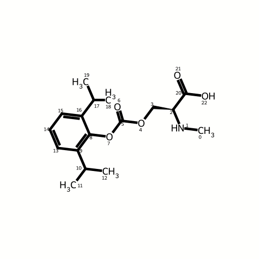 CN[C@@H](COC(=O)Oc1c(C(C)C)cccc1C(C)C)C(=O)O